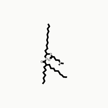 CCCCCCCCCCCC(COC(=O)C(CCCCCCC)CCCCCCCCC)OC(=O)CCCN(C)C